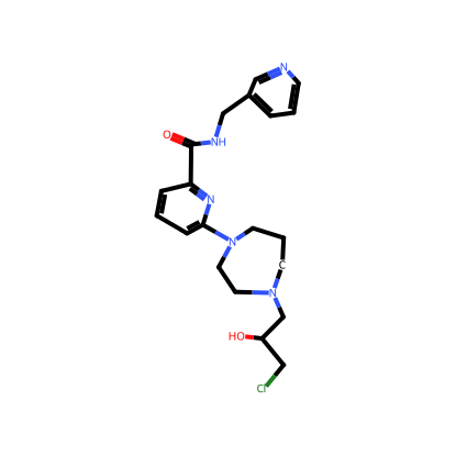 O=C(NCc1cccnc1)c1cccc(N2CCCN(CC(O)CCl)CC2)n1